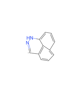 [C]1=NNc2cccc3cccc1c23